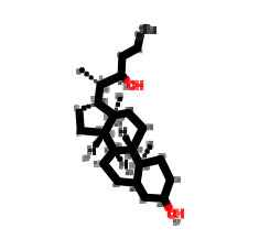 C[C@H](C(O)CCC(C)(C)C)[C@H]1CC[C@H]2[C@@H]3CCC4CC(O)CC[C@]4(C)[C@H]3CC[C@]12C